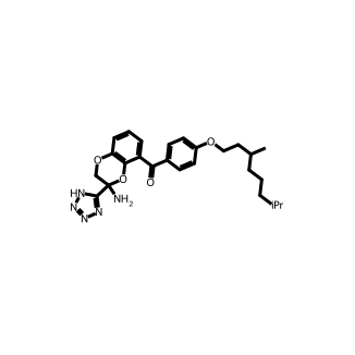 CC(C)CCCC(C)CCOc1ccc(C(=O)c2cccc3c2OC(N)(c2nnn[nH]2)CO3)cc1